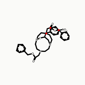 O=C(CN1CCN2CCN(CC(=O)OCc3ccccc3)CCN(CC1)CC(Cc1ccc([N+](=O)[O-])cc1)C2)OCc1ccccc1